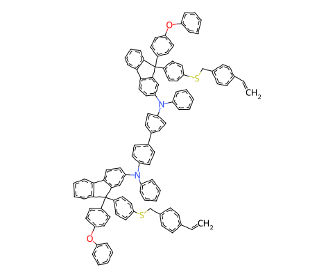 C=Cc1ccc(CSc2ccc(C3(c4ccc(Oc5ccccc5)cc4)c4ccccc4-c4ccc(N(c5ccccc5)c5ccc(-c6ccc(N(c7ccccc7)c7ccc8c(c7)C(c7ccc(Oc9ccccc9)cc7)(c7ccc(SCc9ccc(C=C)cc9)cc7)c7ccccc7-8)cc6)cc5)cc43)cc2)cc1